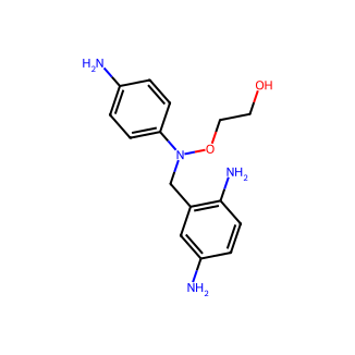 Nc1ccc(N(Cc2cc(N)ccc2N)OCCO)cc1